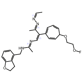 C\C=N/N=C(C)/C(=C\N=C(/C)NCc1cccc2c1CCO2)C1=CC=CC(OCCOF)C=C1